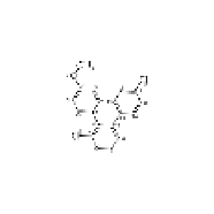 COc1ccc(C2=C(Cl)[CH]CC=C2c2ccc(Cl)cc2)cc1